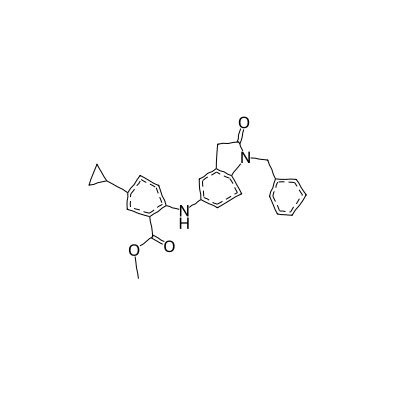 COC(=O)c1cc(C2CC2)ccc1Nc1ccc2c(c1)CC(=O)N2Cc1ccccc1